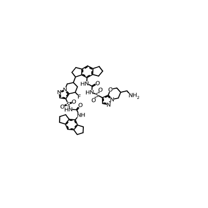 NCC1COc2c(S(=O)(=O)NC(=O)Nc3c4c(cc5c3C(C3CC(F)c6c(S(=O)(=O)NC(=O)Nc7c8c(cc9c7CCC9)CCC8)cnn6C3)CC5)CCC4)cnn2C1